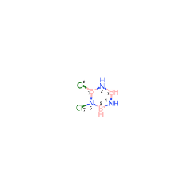 ClB1NBNBN1Cl